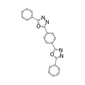 c1ccc(-c2nnc(-c3ccc(-c4nnc(-c5ccccc5)o4)cc3)o2)cc1